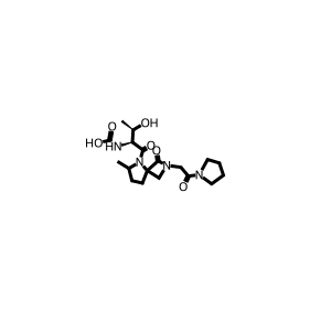 CC1CCC2(CN(CC(=O)N3CCCC3)C2=O)N1C(=O)[C@@H](NC(=O)O)[C@@H](C)O